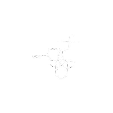 COC1(c2cccc(C#N)c2)[C@@H]2CCC[C@H]1CN(C(=O)OC(C)(C)C)C2